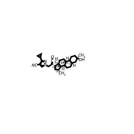 C[C@@H]1C[C@H](C(=C=O)Cn2cc(C#N)c(C3CC3)n2)[C@@]2(C)CC[C@H]3[C@@H](CC[C@@H]4C[C@](C)(O)CC[C@@H]43)[C@H]12